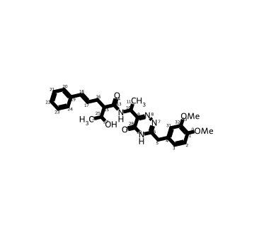 COc1ccc(Cc2nnc(C(C)NC(=O)C(CC=Cc3ccccc3)C(C)O)c(=O)[nH]2)cc1OC